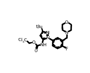 CC(C)(C)c1cc(NC(=O)OCC(Cl)(Cl)Cl)n(-c2ccc(F)c(CN3CCOCC3)c2)n1